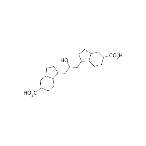 O=C(O)C1CCC2C(CC(O)CC3CCC4CC(C(=O)O)CCC34)CCC2C1